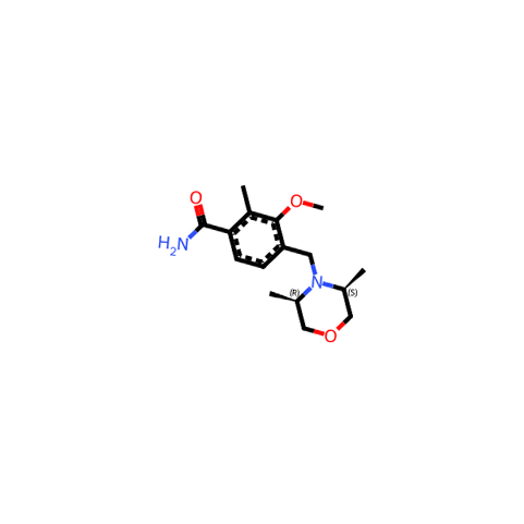 COc1c(CN2[C@H](C)COC[C@@H]2C)ccc(C(N)=O)c1C